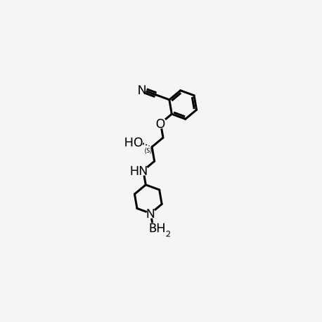 BN1CCC(NC[C@H](O)COc2ccccc2C#N)CC1